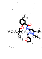 Cn1c(C(C)(C)C)c/c(=N\C(=O)c2cc(C(F)(F)F)ccc2OCC(C)(C)C(=O)O)n1C[C@H]1CCCO1